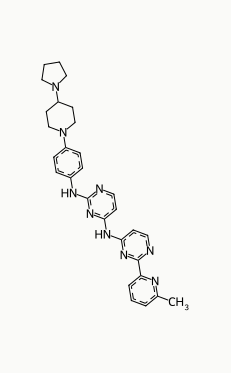 Cc1cccc(-c2nccc(Nc3ccnc(Nc4ccc(N5CCC(N6CCCC6)CC5)cc4)n3)n2)n1